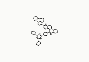 c1ccc(-c2nc(-c3ccccc3)nc(-c3ccc(-c4nc5ccccc5c5ccc6nc(-c7ccc8c9c(cccc79)-c7ccccc7-8)ccc6c45)cc3)n2)cc1